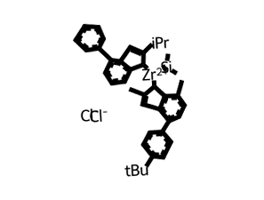 CC1=Cc2c(-c3ccc(C(C)(C)C)cc3)ccc(C)c2[CH]1[Zr+2]([CH]1C(C(C)C)=Cc2c(-c3ccccc3)cccc21)=[Si](C)C.[Cl-].[Cl-]